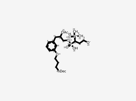 CCCCCCCCCCCCCOc1cccc(CC(COP(=O)(O)C(CC[O-])[N+](C)(C)C)OC(C)=O)c1